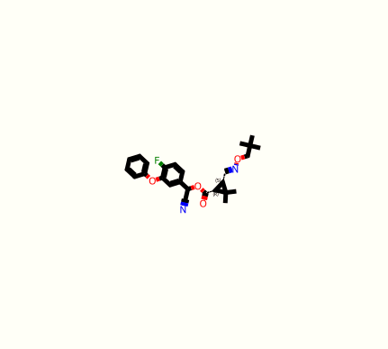 CC(C)(C)CON=C[C@H]1[C@@H](C(=O)OC(C#N)c2ccc(F)c(Oc3ccccc3)c2)C1(C)C